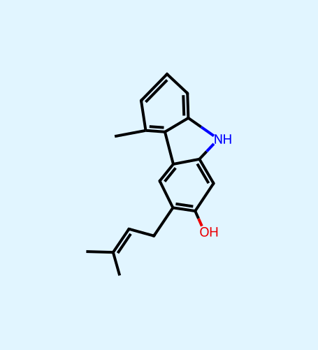 CC(C)=CCc1cc2c(cc1O)[nH]c1cccc(C)c12